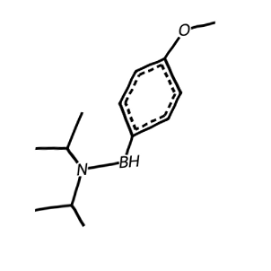 COc1ccc(BN(C(C)C)C(C)C)cc1